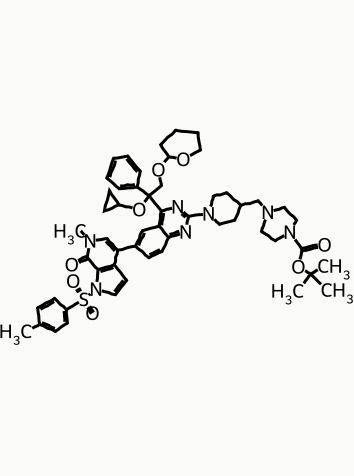 Cc1ccc(S(=O)(=O)n2ccc3c(-c4ccc5nc(N6CCC(CN7CCN(C(=O)OC(C)(C)C)CC7)CC6)nc(C(COC6CCCCO6)(OC6CC6)c6ccccc6)c5c4)cn(C)c(=O)c32)cc1